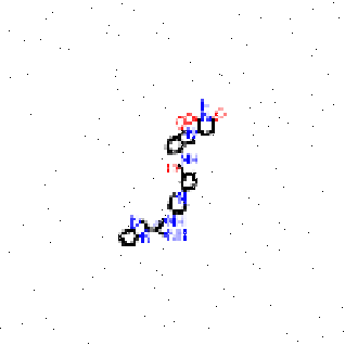 N=C/C(=C\NC1CCN(c2cccc(C(=O)Nc3cccc4c3CN(C3CCC(=O)NC3=O)C4=O)c2)CC1)c1cnc2ccccc2n1